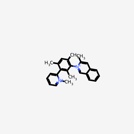 Cc1cc(C)c(-[n+]2cc3ccccc3cc2C)c(C)c1-c1cccc[n+]1C